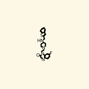 O=c1cnc2ccc(F)cc2n1CCN1CCC(NCc2cc3ccccc3s2)CC1